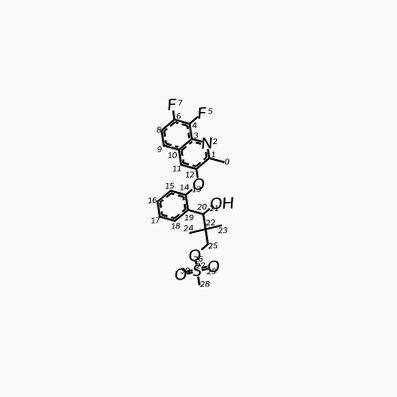 Cc1nc2c(F)c(F)ccc2cc1Oc1ccccc1C(O)C(C)(C)COS(C)(=O)=O